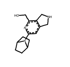 OCc1nc(N2C3CCC2CC3)cc2c1CNC2